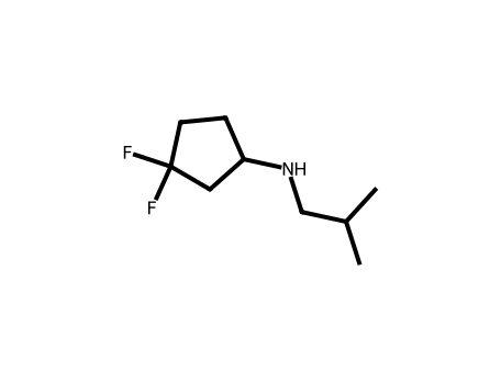 CC(C)CNC1CCC(F)(F)C1